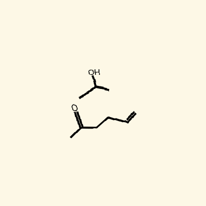 C=CCCC(C)=O.CC(C)O